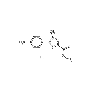 COC(=O)c1nc(C)c(-c2ccc(N)cc2)s1.Cl